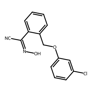 N#C/C(=N/O)c1ccccc1COc1cccc(Cl)c1